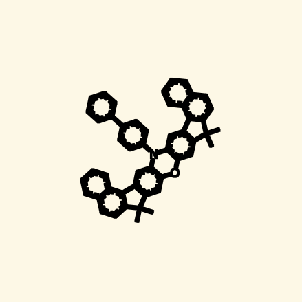 CC1(C)c2cc3c(cc2-c2c1ccc1ccccc21)N(c1ccc(-c2ccccc2)cc1)c1cc2c(cc1O3)C(C)(C)c1ccc3ccccc3c1-2